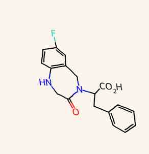 O=C(O)C(Cc1ccccc1)N1Cc2cc(F)ccc2NCC1=O